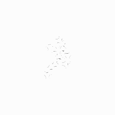 C1=CC2C=CC(c3nc(-c4ccc5cc(-c6ccccc6)ccc5c4)nc(-c4c(-c5ccc6c(c5)sc5ccccc56)ccc5oc6ccccc6c45)n3)=CC2C=C1